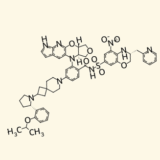 CC(C)Oc1ccccc1[C@@H]1CCCN1C1CC2(CCN(c3ccc(C(=O)NS(=O)(=O)c4cc5c(c([N+](=O)[O-])c4)N[C@H](Cc4ccccn4)CO5)c(N4c5cc6cc[nH]c6nc5O[C@@H]5COC[C@H]54)c3)CC2)C1